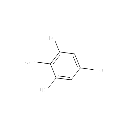 CSc1c(C(C)(C)C)cc(C(C)(C)C)cc1C(C)(C)C